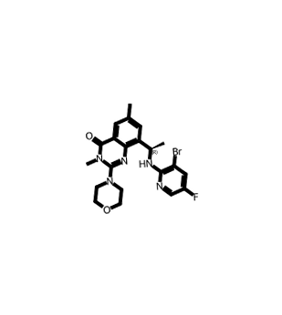 Cc1cc([C@@H](C)Nc2ncc(F)cc2Br)c2nc(N3CCOCC3)n(C)c(=O)c2c1